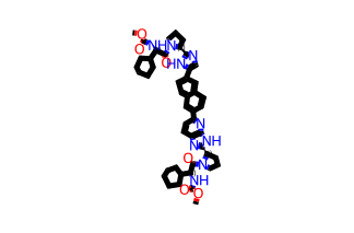 COC(=O)N[C@H](C(=O)N1CCC[C@H]1c1ncc(-c2ccc3cc(-c4ccc5nc([C@@H]6CCCN6C(=O)[C@@H](NC(=O)OC)C6CCCCC6)[nH]c5n4)ccc3c2)[nH]1)C1CCCCC1